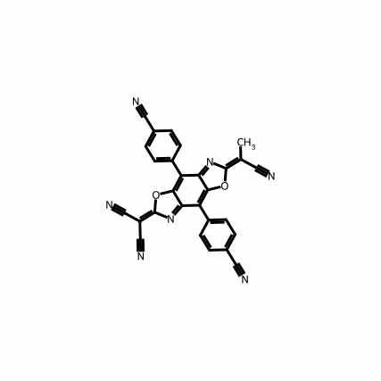 C/C(C#N)=c1\nc2c(-c3ccc(C#N)cc3)c3oc(=C(C#N)C#N)nc3c(-c3ccc(C#N)cc3)c2o1